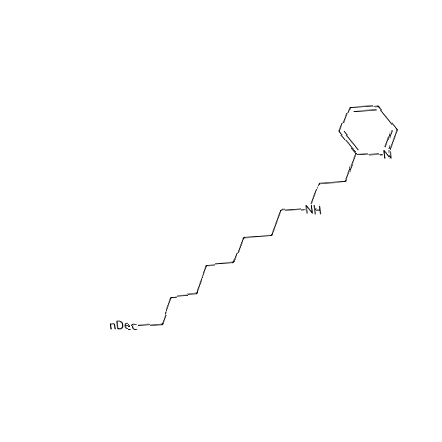 CCCCCCCCCCCCCCCCCCNCCc1ccccn1